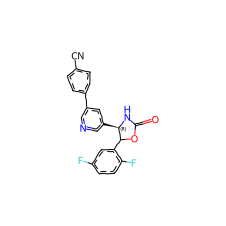 N#Cc1ccc(-c2cncc([C@H]3NC(=O)OC3c3cc(F)ccc3F)c2)cc1